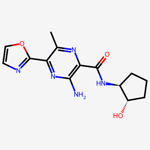 Cc1nc(C(=O)N[C@H]2CCC[C@@H]2O)c(N)nc1-c1ncco1